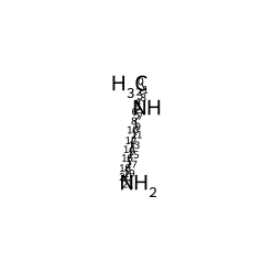 CCCCCNCCCCCCCCCCCCCCCN